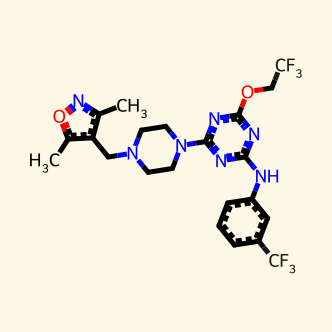 Cc1noc(C)c1CN1CCN(c2nc(Nc3cccc(C(F)(F)F)c3)nc(OCC(F)(F)F)n2)CC1